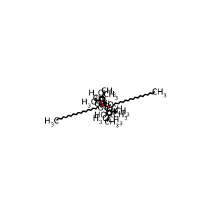 CCCCCCCCCCCCCCCCCCOC(=O)C(Cc1cc(C(C)(C)C)cc(C(C)(C)C)c1O)(Cc1cc(C(C)(C)C)cc(C(C)(C)C)c1O)C(=O)OCCCCCCCCCCCCCCCCCC